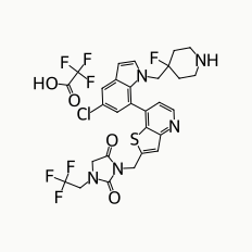 O=C(O)C(F)(F)F.O=C1CN(CC(F)(F)F)C(=O)N1Cc1cc2nccc(-c3cc(Cl)cc4ccn(CC5(F)CCNCC5)c34)c2s1